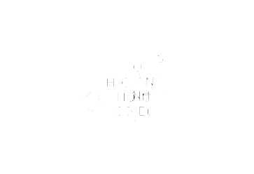 CCOC(=O)C(CCc1ccccc1)N[C@@H](C)C(=O)N1[C@H](C(=O)O)CCCC12CCSC2